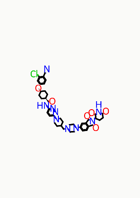 N#Cc1ccc(O[C@H]2CC[C@H](C(=O)Nc3ccc(N4CCC(CN5CCN(c6ccc7c(c6)C(=O)N(C6CCC(=O)NC6=O)C7=O)CC5)CC4)nn3)CC2)cc1Cl